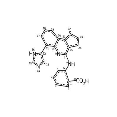 O=C(O)c1ccccc1Nc1nc2c(-c3nnc[nH]3)cccc2c2sccc12